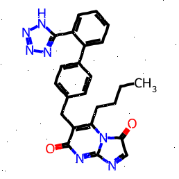 CCCCc1c(Cc2ccc(-c3ccccc3-c3nnn[nH]3)cc2)c(=O)nc2n1C(=O)C=N2